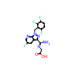 NC(=NCC(=O)O)c1nn(Cc2c(F)ccc(F)c2F)c2ncc(F)cc12